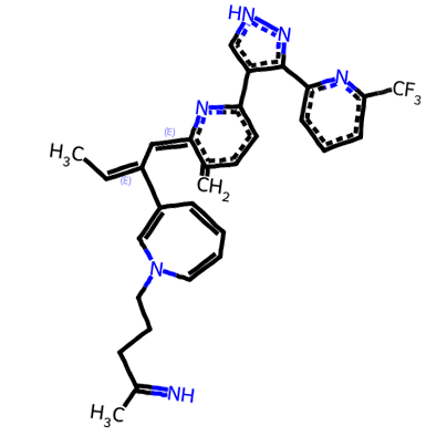 C=c1ccc(-c2c[nH]nc2-c2cccc(C(F)(F)F)n2)n/c1=C/C(=C\C)C1=CN(CCCC(C)=N)C=CC=C1